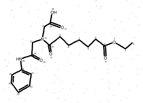 CCOC(=O)CCCCCC(=O)N(CC(=O)O)CC(=O)Nc1ccccc1